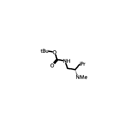 CN[C@H](CNC(=O)OC(C)(C)C)C(C)C